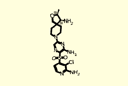 C[C@@H]1OCC2(CCN(c3cnc(S(=O)(=O)c4ccnc(N)c4Cl)c(N)n3)CC2)[C@@H]1N